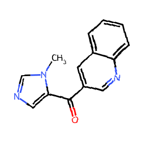 Cn1cncc1C(=O)c1cnc2ccccc2c1